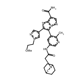 COCCn1cc(-c2sc3c(C(N)=O)cnn3c2-c2cc(NC(=O)CN3CC4CCC3CC4)cnc2C)cn1